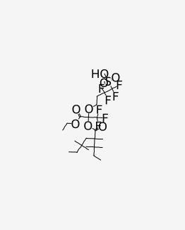 CCOC(=O)C(OCCC(F)(F)C(F)(F)S(=O)(=O)O)(OC(=O)C(C)(CC(C)(C)CC)C(C)(C)CC)C(F)(F)F